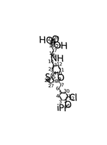 CC(C)Oc1ccc(CCCOc2ccc(CNCCCP(=O)(O)O)cc2-c2cccs2)cc1Cl